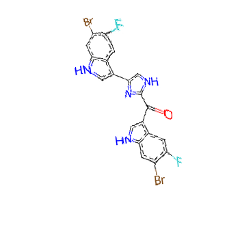 O=C(c1nc(-c2c[nH]c3cc(Br)c(F)cc23)c[nH]1)c1c[nH]c2cc(Br)c(F)cc12